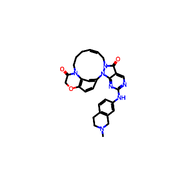 CN1CCc2ccc(Nc3ncc4c(=O)n5n(c4n3)-c3ccc4c(c3)N(CCC/C=C\C5)C(=O)CO4)cc2C1